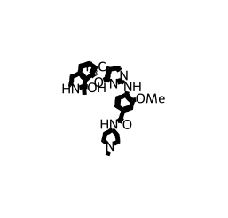 COc1cc(C(=O)NC2CCN(C)CC2)ccc1Nc1ncc(C(F)(F)F)c(Oc2cccc3c2C(C)(O)NCC3)n1